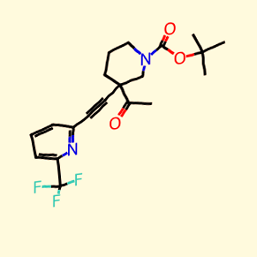 CC(=O)C1(C#Cc2cccc(C(F)(F)F)n2)CCCN(C(=O)OC(C)(C)C)C1